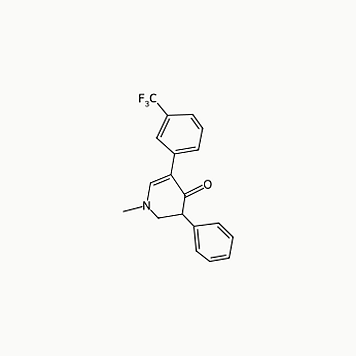 CN1C=C(c2cccc(C(F)(F)F)c2)C(=O)C(c2ccccc2)C1